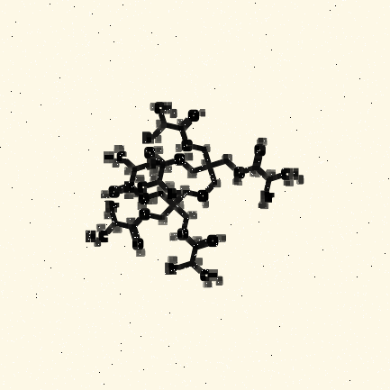 CC(Br)C(=O)OCC(COCC(COC(=O)C(C)Br)(COC(=O)C(C)Br)COC(=O)C(C)Br)(COC(=O)C(C)Br)COC(=O)C(C)Br